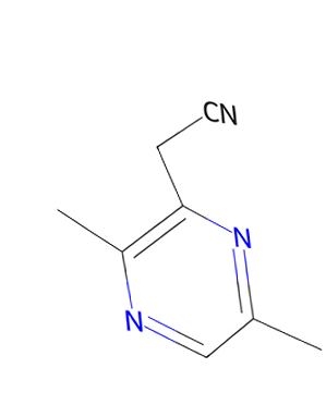 Cc1cnc(C)c(CC#N)n1